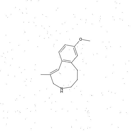 COc1ccc2c(c1)CCCNC/C(C)=C/2